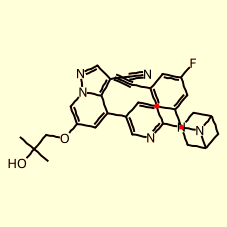 C#Cc1cc(F)cc(CN2C3CC2CN(c2ccc(-c4cc(OCC(C)(C)O)cn5ncc(C#N)c45)cn2)C3)c1